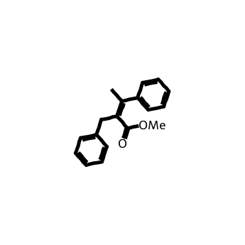 COC(=O)/C(Cc1ccccc1)=C(/C)c1ccccc1